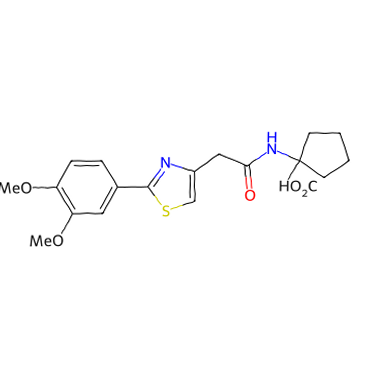 COc1ccc(-c2nc(CC(=O)NC3(C(=O)O)CCCC3)cs2)cc1OC